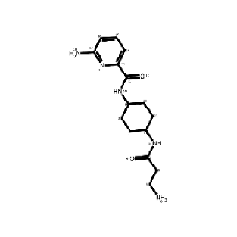 NCCC(=O)NC1CCC(NC(=O)c2cccc(N)n2)CC1